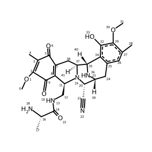 COC1=C(C)C(=O)C2=C(C1=O)[C@H](CNC(=O)[C@H](C)N)N1[C@@H](C#N)[C@H]3Cc4cc(C)c(OC)c(O)c4[C@H](N3)[C@@H]1C2